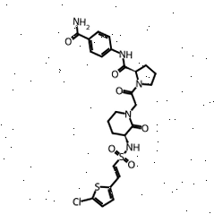 NC(=O)c1ccc(NC(=O)[C@H]2CCCN2C(=O)CN2CCC[C@H](NS(=O)(=O)/C=C/c3ccc(Cl)s3)C2=O)cc1